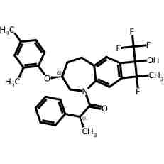 Cc1ccc(O[C@H]2CCc3cc4c(cc3N(C(=O)[C@@H](C)c3ccccc3)C2)C(C)(F)C4(O)C(F)(F)F)c(C)c1